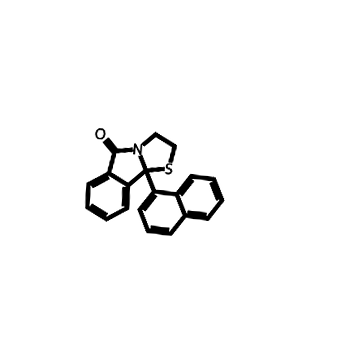 O=C1c2ccccc2C2(c3cccc4ccccc34)SCCN12